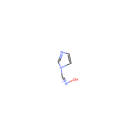 O/N=C\n1ccnc1